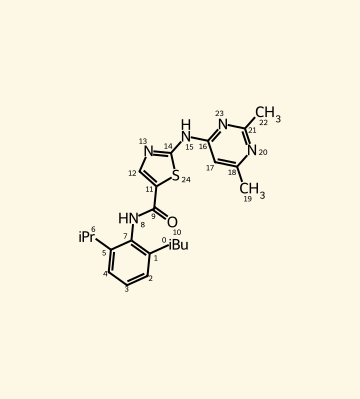 CCC(C)c1cccc(C(C)C)c1NC(=O)c1cnc(Nc2cc(C)nc(C)n2)s1